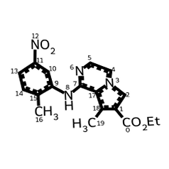 CCOC(=O)c1cn2ccnc(Nc3cc([N+](=O)[O-])ccc3C)c2c1C